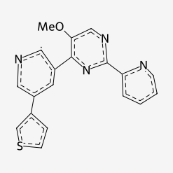 COc1cnc(-c2ccccn2)nc1-c1[c]ncc(-c2ccsc2)c1